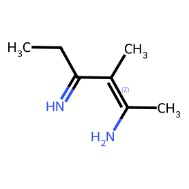 CCC(=N)/C(C)=C(/C)N